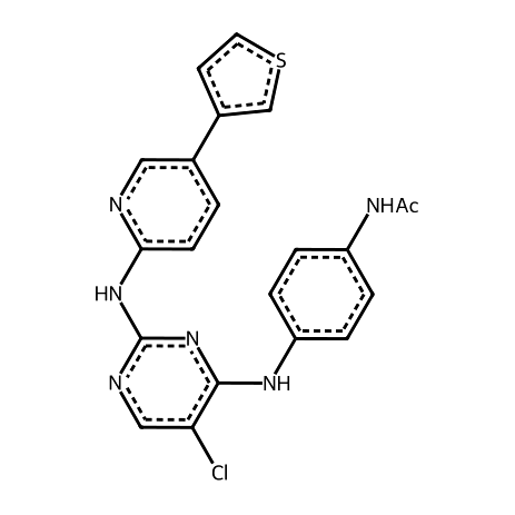 CC(=O)Nc1ccc(Nc2nc(Nc3ccc(-c4ccsc4)cn3)ncc2Cl)cc1